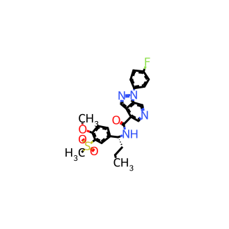 CCC[C@@H](NC(=O)c1cncc2c1cnn2-c1ccc(F)cc1)c1ccc(OC)c(S(C)(=O)=O)c1